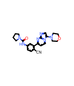 N#Cc1ccc(NC(=O)N2CCCC2)cc1-c1ccn2c(N3CCOCC3)cnc2n1